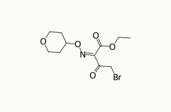 CCOC(=O)/C(=N\OC1CCOCC1)C(=O)CBr